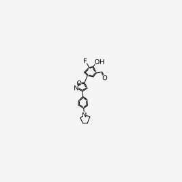 O=Cc1cc(-c2cc(-c3ccc(N4CCCC4)cc3)no2)cc(F)c1O